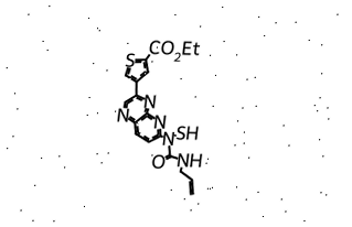 C=CCNC(=O)N(S)c1ccc2ncc(-c3csc(C(=O)OCC)c3)nc2n1